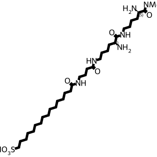 CNC(=O)[C@@H](N)CCCCNC(=O)[C@@H](N)CCCCNC(=O)CCCNC(=O)CCCCCCCCCCCCCCCS(=O)(=O)O